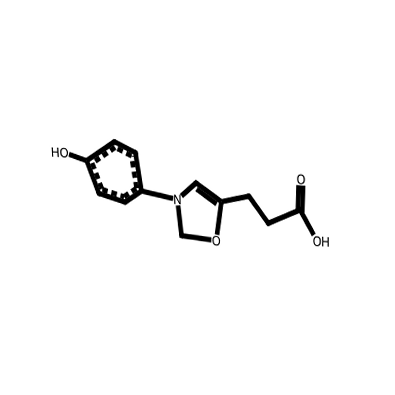 O=C(O)CCC1=CN(c2ccc(O)cc2)CO1